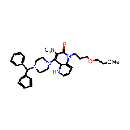 COCCOCCCN1C(=O)C([N+](=O)[O-])=C(N2CCN(C(c3ccccc3)c3ccccc3)CC2)C2NC=CC=C21